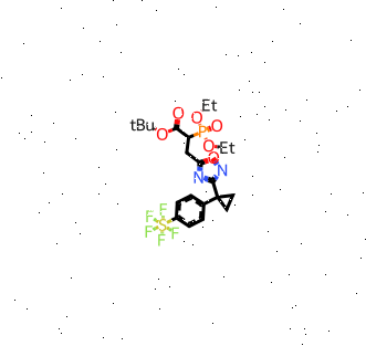 CCOP(=O)(OCC)C(Cc1nc(C2(c3ccc(S(F)(F)(F)(F)F)cc3)CC2)no1)C(=O)OC(C)(C)C